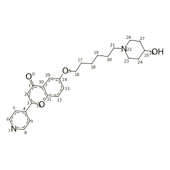 O=c1cc(-c2ccncc2)oc2ccc(OCCCCCCN3CCC(O)CC3)cc12